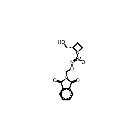 O=C1c2ccccc2C(=O)N1CON=[N+]([O-])N1CC[C@H]1CO